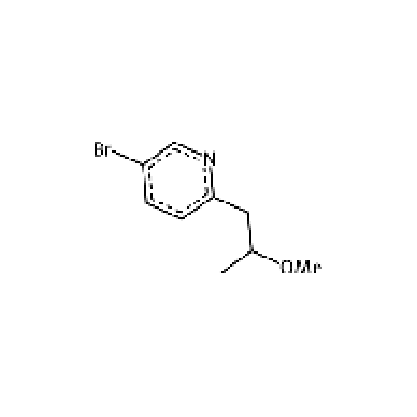 COC(C)Cc1ccc(Br)cn1